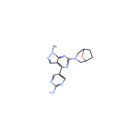 CCC(C)n1ncc2c(-c3cnc(N)nc3)nc(N3CC4CCC(C3)O4)nc21